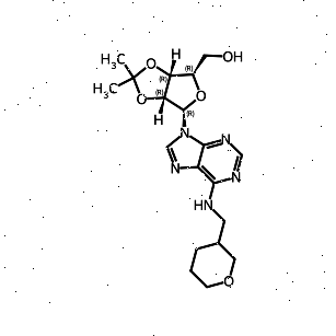 CC1(C)O[C@@H]2[C@H](O1)[C@@H](CO)O[C@H]2n1cnc2c(NCC3CCCOC3)ncnc21